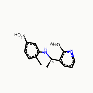 COc1ncccc1[C@@H](C)Nc1cc(S(=O)(=O)O)ccc1C